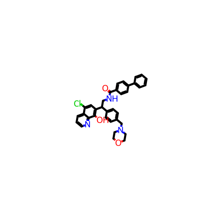 O=C(NCC(c1ccc(CN2CCOCC2)cc1)c1cc(Cl)c2cccnc2c1O)c1ccc(-c2ccccc2)cc1